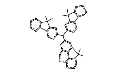 CC1(C)c2ccccc2-c2ccc(N(c3ccc4c(c3)C(C)(C)c3ccccc3-4)c3cc4c5c(ccc6cccc(c65)C4(C)C)c3)cc21